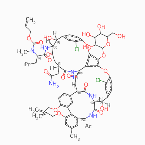 C=CCOC(=O)N(C)[C@H](CC(C)C)C(=O)N[C@H]1C(=O)C[C@@H](CC(N)=O)C(=O)N[C@H]2C(=O)C[C@H]3C(=O)N[C@H](C(=O)N[C@H](C(C)=O)c4cc(C)cc(OCC=C)c4-c4cc3ccc4OCC=C)[C@H](O)c3ccc(c(Cl)c3)Oc3cc2cc(c3OC2OC(CO)C(O)C(O)C2O)Oc2ccc(cc2Cl)[C@H]1O